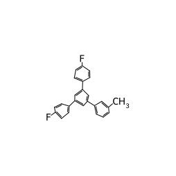 Cc1cccc(-c2cc(-c3ccc(F)cc3)cc(-c3ccc(F)cc3)c2)c1